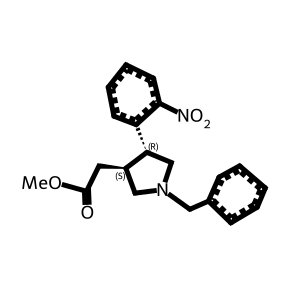 COC(=O)C[C@@H]1CN(Cc2ccccc2)C[C@H]1c1ccccc1[N+](=O)[O-]